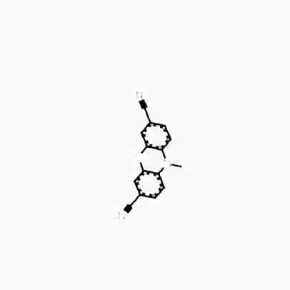 CN1c2ccc(C#N)cc2Sc2cc(C#N)ccc21